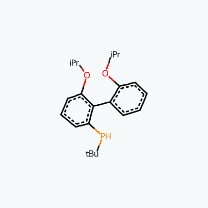 CC(C)Oc1ccccc1-c1c(OC(C)C)cccc1PC(C)(C)C